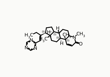 CCC(=Cc1ncncn1)[C@H]1CC[C@H]2[C@@H]3CCC4N(C)C(=O)C=C[C@]4(C)[C@H]3CC[C@]12C